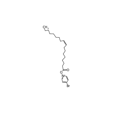 CCCCCCCC/C=C\CCCCCCCC(=O)O[n+]1ccc(Br)cc1